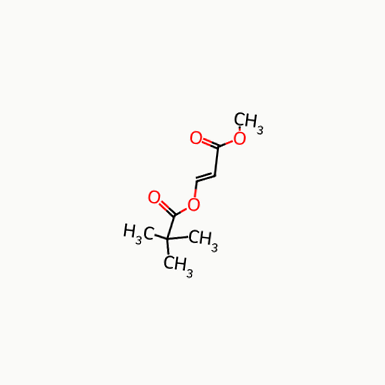 COC(=O)C=COC(=O)C(C)(C)C